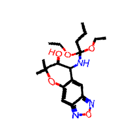 CCCC(NC1c2cc3nonc3cc2OC(C)(C)C1O)(OCC)OCC